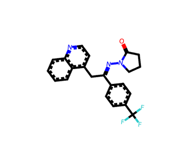 O=C1CCCN1N=C(Cc1ccnc2ccccc12)c1ccc(C(F)(F)F)cc1